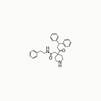 O=C(CC1(C(=O)CC(c2ccccc2)c2ccccc2)CCNCC1)NCCc1ccccc1